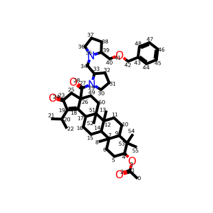 CC(=O)OC1CCC2(C)C(CCC3(C)C2CCC2C4=C(C(C)C)C(=O)CC4(C(=O)N4CCCC4CN4CCCC4COCc4ccccc4)CCC23C)C1(C)C